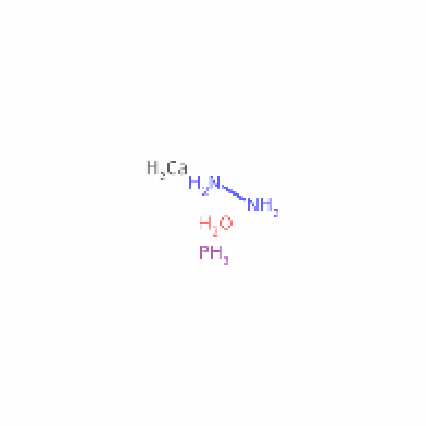 NN.O.P.[CaH2]